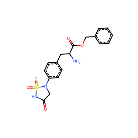 NC(Cc1ccc(N2CC(=O)NS2(=O)=O)cc1)C(=O)OCc1ccccc1